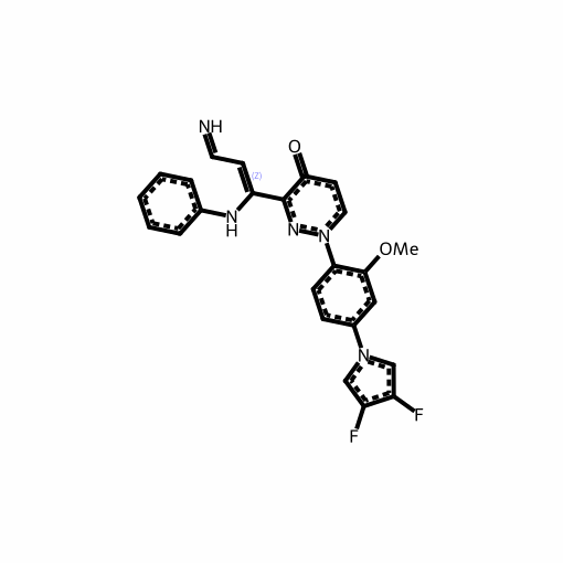 COc1cc(-n2cc(F)c(F)c2)ccc1-n1ccc(=O)c(/C(=C/C=N)Nc2ccccc2)n1